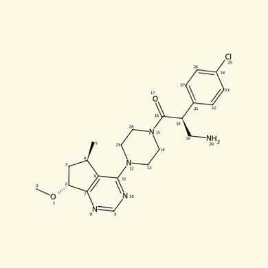 CO[C@@H]1C[C@@H](C)c2c1ncnc2N1CCN(C(=O)[C@H](CN)c2ccc(Cl)cc2)CC1